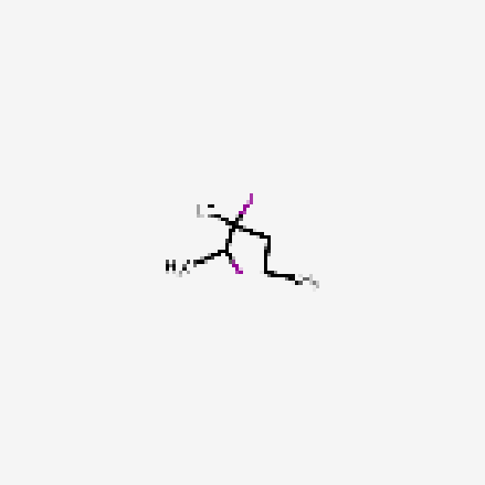 CC[CH]C(C)(I)C(C)I